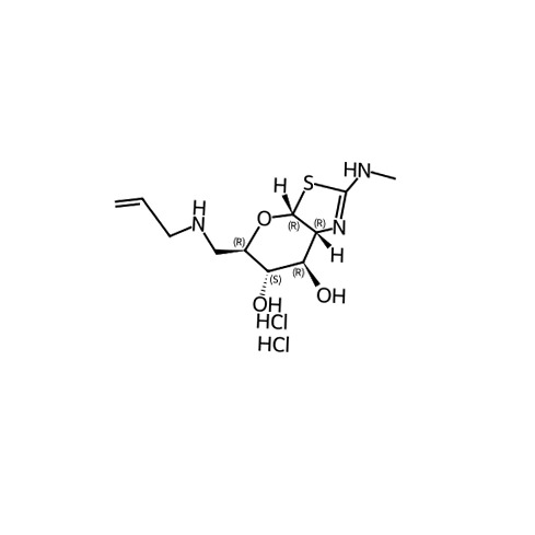 C=CCNC[C@H]1O[C@@H]2SC(NC)=N[C@@H]2[C@@H](O)[C@@H]1O.Cl.Cl